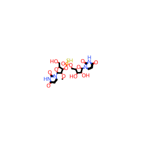 COC1C(O[P@@](=O)(S)OCC2OC(n3ccc(=O)[nH]c3=O)C(O)C2O)C(CO)OC1n1ccc(=O)[nH]c1=O